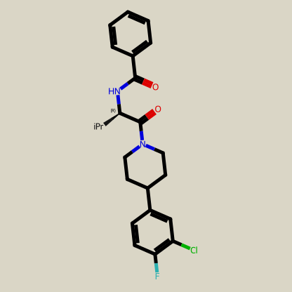 CC(C)[C@@H](NC(=O)c1ccccc1)C(=O)N1CCC(c2ccc(F)c(Cl)c2)CC1